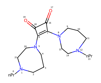 CCCN1CCCN(c2c(N3CCCN(CCC)CC3)c(=O)c2=O)CC1